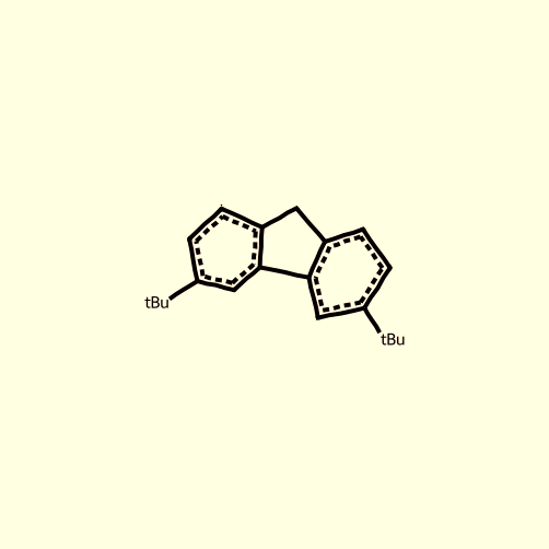 CC(C)(C)c1c[c]c2c(c1)-c1cc(C(C)(C)C)ccc1C2